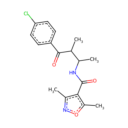 Cc1noc(C)c1C(=O)NC(C)C(C)C(=O)c1ccc(Cl)cc1